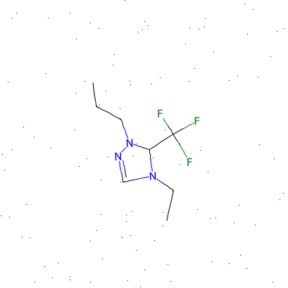 CCCN1N=CN(CC)C1C(F)(F)F